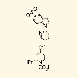 CC(C)C1CC(OCc2ccc(-n3ccc4cc(S(C)(=O)=O)ccc43)nc2)CCN1C(=O)O